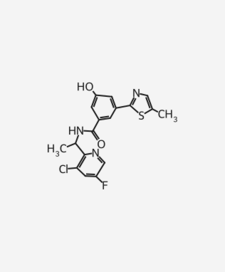 Cc1cnc(-c2cc(O)cc(C(=O)NC(C)c3ncc(F)cc3Cl)c2)s1